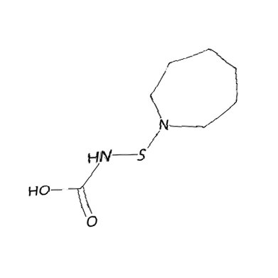 O=C(O)NSN1CCCCCC1